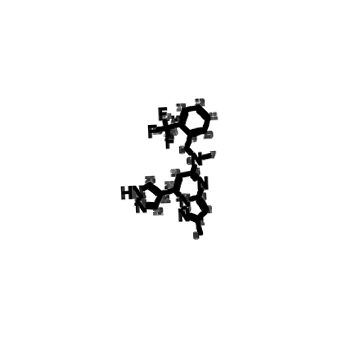 Cc1cc2nc(N(C)Cc3ccccc3C(F)(F)F)cc(-c3cn[nH]c3)n2n1